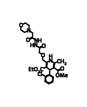 CCOC(=O)C1=C(COCC(=O)NNC(=O)CN2CCOCC2)NC(C)=C(C(=O)OC)C1c1ccccc1Cl